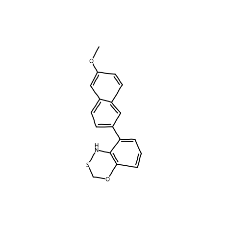 COc1ccc2cc(-c3cccc4c3NSCO4)ccc2c1